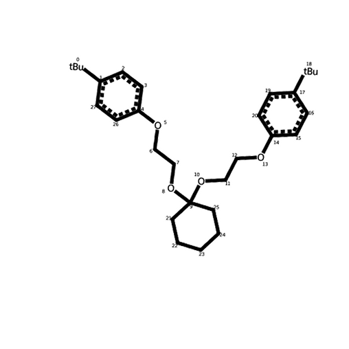 CC(C)(C)c1ccc(OCCOC2(OCCOc3ccc(C(C)(C)C)cc3)CCCCC2)cc1